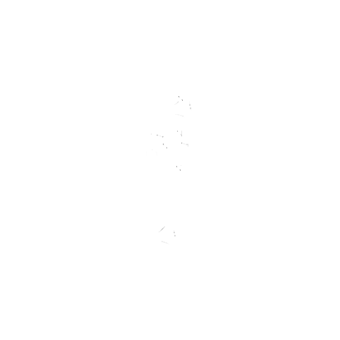 CCCN1C(=O)[C@H](Cc2cccnc2)NC(=O)C12CCN(CCCCCCc1ccccc1)CC2